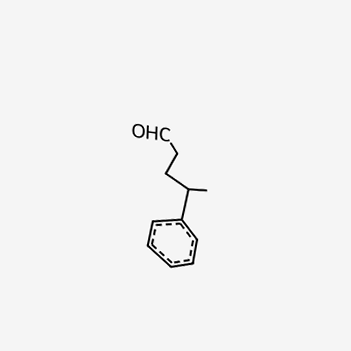 CC(CCC=O)c1ccccc1